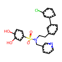 O=S(=O)(c1ccc(O)c(O)c1)N(CCc1cccc(-c2cccc(Cl)c2)c1)Cc1cccnc1